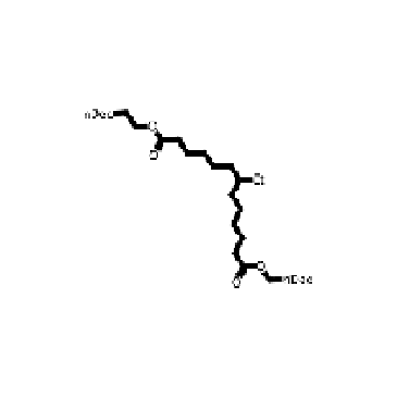 CCCCCCCCCCCCOC(=O)CCCCCC(CC)CCCCCC(=O)OCCCCCCCCCCC